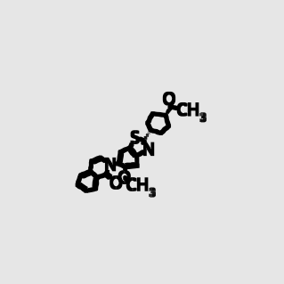 COc1cc2nc([C@H]3CC[C@H](C(C)=O)CC3)sc2cc1-n1ccc2ccccc2c1=O